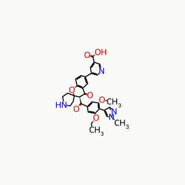 CCOc1cc(C(=O)[C@@H]2C(=O)c3cc(-c4cncc(C(=O)O)c4)ccc3OC23CCNCC3)cc(OC)c1-c1cnn(C)c1